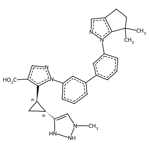 CN1C=C([C@@H]2C[C@H]2c2c(C(=O)O)cnn2-c2cccc(-c3cccc(-n4ncc5c4C(C)(C)CC5)c3)c2)NN1